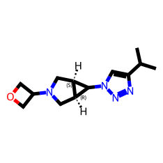 CC(C)c1cn(C2[C@H]3CN(C4COC4)C[C@@H]23)nn1